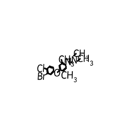 CCN(C=Nc1cc(C)c(Oc2ccc(Cl)c(Br)c2)cc1C)CC